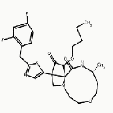 CCCCOC1C(=O)C2(c3cnc(Cc4ccc(F)cc4F)s3)CN3CCOCC[C@@H](C)NC(=O)[C@]132